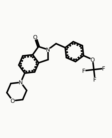 O=C1c2ccc(N3CCOCC3)cc2CN1Cc1ccc(OC(F)(F)F)cc1